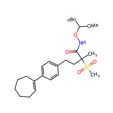 CCCCC(OC)ONC(=O)C(C)(CCc1ccc(C2=CCCCCC2)cc1)S(C)(=O)=O